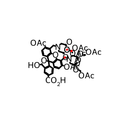 CC(=O)OCOC(=O)CN(CC(=O)OCOC(C)=O)Cc1c(OC(C)=O)ccc2c1Oc1c(ccc(OC(C)=O)c1CN(CC(=O)OCOC(C)=O)CC(=O)OCOC(C)=O)C21OC(O)c2cc(C(=O)O)ccc21